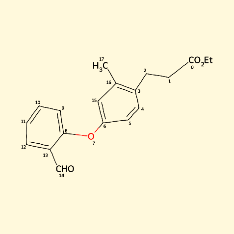 CCOC(=O)CCc1ccc(Oc2ccccc2C=O)cc1C